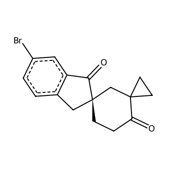 O=C1CC[C@]2(Cc3ccc(Br)cc3C2=O)CC12CC2